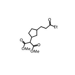 CCC(=O)CCC1CCC(C(C(=O)OC)C(=O)OC)C1